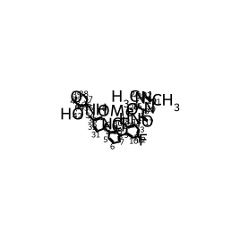 COc1nc(-c2cccc(-c3cc(F)cc(NC(=O)c4nc(C)nn(C)c4=O)c3Cl)c2Cl)ccc1CNC1CCOC[C@@H]1O